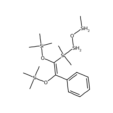 C[SiH2]O[SiH2][Si](C)(C)C(O[Si](C)(C)C)=C(O[Si](C)(C)C)c1ccccc1